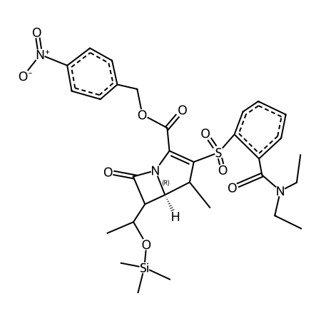 CCN(CC)C(=O)c1ccccc1S(=O)(=O)C1=C(C(=O)OCc2ccc([N+](=O)[O-])cc2)N2C(=O)C(C(C)O[Si](C)(C)C)[C@@H]2C1C